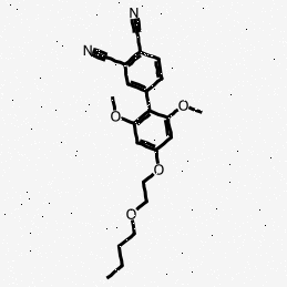 CCCCOCCOc1cc(OC)c(-c2ccc(C#N)c(C#N)c2)c(OC)c1